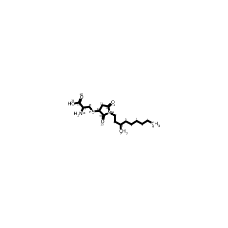 CCCCCCC(C)CCN1C(=O)CC(SCC(N)C(=O)O)C1=O